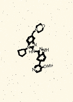 COc1ccncc1-c1ccc2[nH]nc(Nc3nc4cc(CN5CCOCC5)ccc4n3C3CCCCC3)c2c1